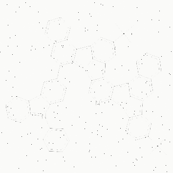 CC(C)(C)c1ccc2c(c1)c1cc3ccccc3c3c4c5c6cc(C(C)(C)C)cc7c8c9ccccc9cc(-c9ccc%10c(c9)c9ccccc9n%10-c9ccccc9)c8n(c5cnc4n2c13)c67